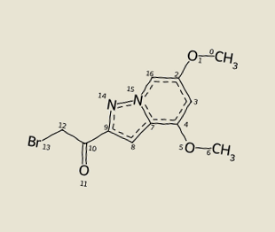 COc1cc(OC)c2cc(C(=O)CBr)nn2c1